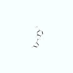 O=[SH](=O)c1ccc2[nH]c(-c3ccc(Cl)s3)nc2c1